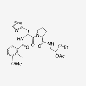 CCO[C@@H](CNC(=O)[C@@H]1CCCN1C(=O)[C@H](Cc1cscn1)NC(=O)c1cccc(OC)c1C)OC(C)=O